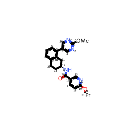 COc1ncc(-c2cccc3c2C[C@H](NC(=O)c2ccc(OC(C)C)nc2)CC3)cn1